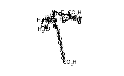 Cc1cc(N(CCCC(O)C[N+](C)(C)C)c2nc(C(=O)O)c(CCCOc3ccc(C#CCN(C)C(=O)OCc4ccc(NC(=O)C(CCCNC(N)=O)NC(=O)C(N)C(C)C)cc4CN(C)C(=O)OCc4cn(CCOCCOCCOCCOCCOCCOCCOCCOCCC(=O)O)nn4)cc3F)s2)nnc1Nc1nc2ccccc2s1